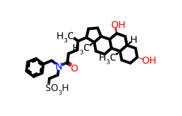 CC(CCC(=O)N(CCS(=O)(=O)O)Cc1ccccc1)C1CCC2C3C(CC[C@]12C)[C@@]1(C)CC[C@@H](O)C[C@H]1C[C@@H]3O